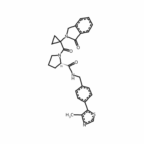 Cc1ncsc1-c1ccc(CNC(=O)[C@@H]2CCCN2C(=O)C2(N3Cc4ccccc4C3=O)CC2)cc1